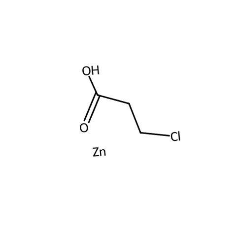 O=C(O)CCCl.[Zn]